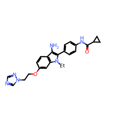 CCn1c(-c2ccc(NC(=O)C3CC3)cc2)c(N)c2ccc(OCCn3cncn3)cc21